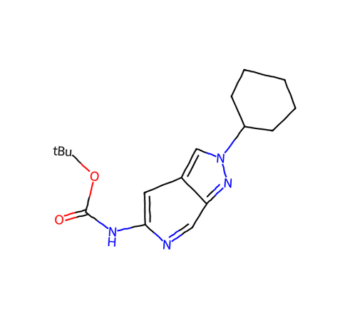 CC(C)(C)OC(=O)Nc1cc2cn(C3CCCCC3)nc2cn1